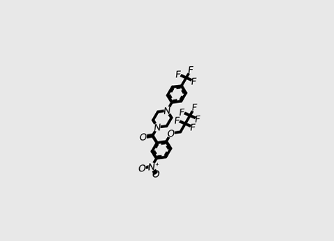 O=C(c1cc([N+](=O)[O-])ccc1OCC(F)(F)C(F)(F)F)N1CCN(c2ccc(C(F)(F)F)cc2)CC1